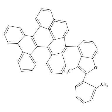 Cc1ccccc1-c1oc2cccc(-c3c4ccccc4c(-c4c(-c5ccccc5)c5ccccc5c5ccccc45)c4ccccc34)c2c1C